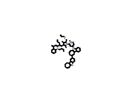 C=CC=C=Cc1c(C)c(/C=C(/C=C/C(=C)c2ccccc2SC/C=C\C)CC=C)c(C)n1/C(=C/C(=C\C)n1c2c(c3ccccc31)C=C(c1ccc3sc4c(c3c1)CCCC=C4)CC=C2)NC